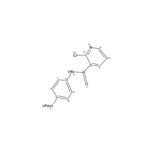 CCCCCc1ccc(NC(=O)c2cccnc2Cl)cc1